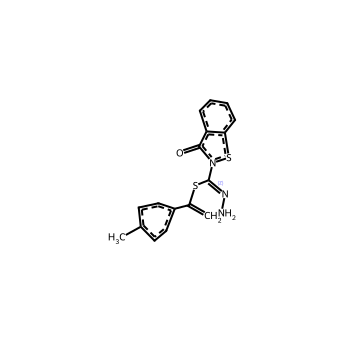 C=C(S/C(=N\N)n1sc2ccccc2c1=O)c1ccc(C)cc1